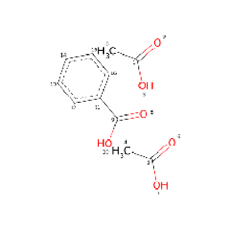 CC(=O)O.CC(=O)O.O=C(O)c1ccccc1